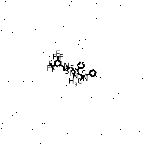 Cc1nc(-c2ccccc2)sc1-c1nnc(Sc2nc(-c3cc(C(F)(F)F)cc(C(F)(F)F)c3)cs2)n1-c1ccccc1